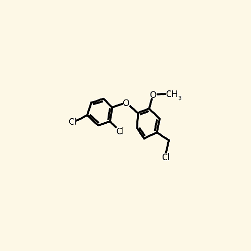 COc1cc(CCl)ccc1Oc1ccc(Cl)cc1Cl